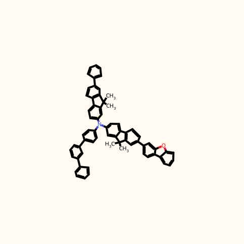 CC1(C)c2cc(-c3ccccc3)ccc2-c2ccc(N(c3ccc(-c4cccc(-c5ccccc5)c4)cc3)c3ccc4c(c3)C(C)(C)c3cc(-c5ccc6c(c5)oc5ccccc56)ccc3-4)cc21